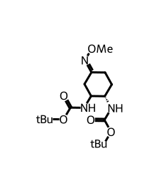 CON=C1CC[C@H](NC(=O)OC(C)(C)C)C(NC(=O)OC(C)(C)C)C1